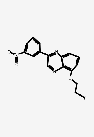 O=[N+]([O-])c1cccc(-c2cnc3c(OCCF)cccc3n2)c1